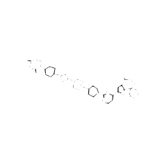 O=C1CCC(c2ccc(N3CC(N4CCN(c5ccc(-c6nccc(-c7cc8c([nH]7)C7(CCCC7)CNC8=O)n6)cc5)CC4)C3)cc2)C(=O)N1